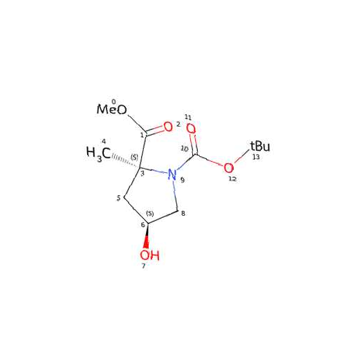 COC(=O)[C@]1(C)C[C@H](O)CN1C(=O)OC(C)(C)C